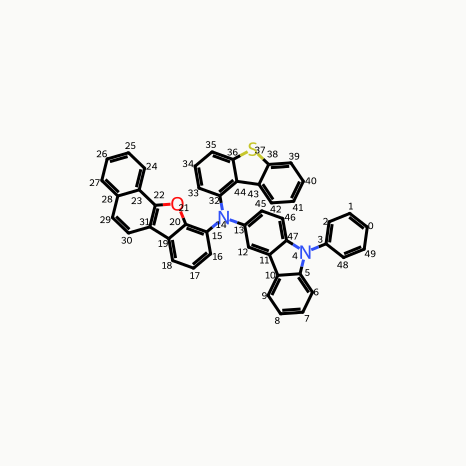 c1ccc(-n2c3ccccc3c3cc(N(c4cccc5c4oc4c6ccccc6ccc54)c4cccc5sc6ccccc6c45)ccc32)cc1